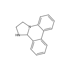 c1ccc2c(c1)-c1ccccc1N1CCNC21